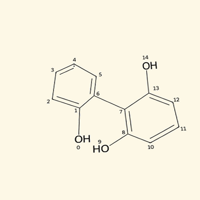 Oc1cc[c]cc1-c1c(O)cccc1O